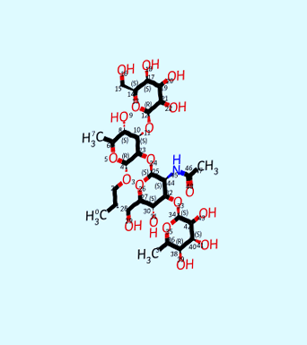 CCCO[C@@H]1OC(C)[C@H](O)[C@H](O[C@H]2O[C@@H](CO)[C@@H](O)C(O)C2O)C1O[C@@H]1OC(CO)[C@@H](O)C(O[C@@H]2OC(C)[C@H](O)[C@H](O)C2O)[C@@H]1NC(C)=O